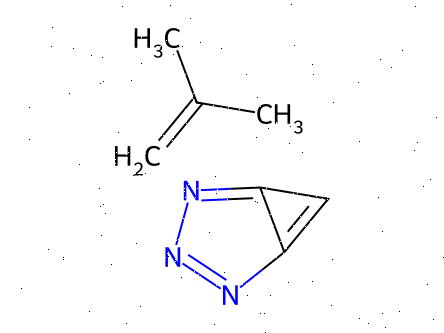 C=C(C)C.c1c2nnnc1-2